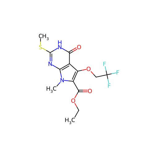 CCOC(=O)c1c(OCC(F)(F)F)c2c(=O)[nH]c(SC)nc2n1C